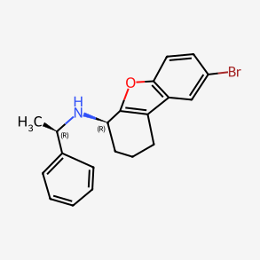 C[C@@H](N[C@@H]1CCCc2c1oc1ccc(Br)cc21)c1ccccc1